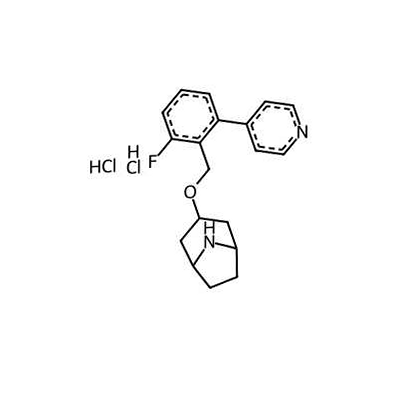 Cl.Cl.Fc1cccc(-c2ccncc2)c1COC1CC2CCC(C1)N2